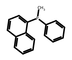 CP(c1ccccc1)c1cccc2ccccc12